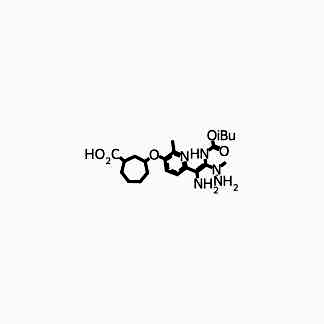 Cc1nc(/C(N)=C(\NC(=O)OCC(C)C)N(C)N)ccc1OC1CCCCC(C(=O)O)C1